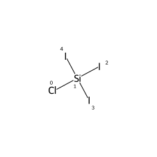 Cl[Si](I)(I)I